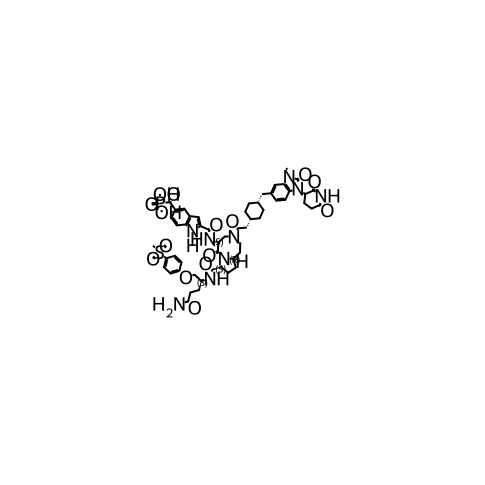 Cn1c(=O)n(C2CCC(=O)NC2=O)c2ccc(C[C@H]3CC[C@@H](CC(=O)N4CC[C@H]5CC[C@@H](C(=O)N[C@@H](CCC(N)=O)COc6ccc(S(C)(=O)=O)cc6)N5C(=O)[C@@H](NC(=O)c5cc6cc(C(=O)P(=O)(O)O)ccc6[nH]5)C4)CC3)cc21